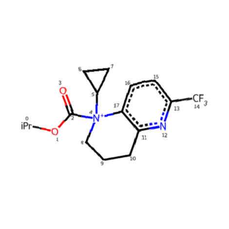 CC(C)OC(=O)[N+]1(C2CC2)CCCc2nc(C(F)(F)F)ccc21